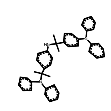 CC(C)(Nc1ccc(C(C)(C)N(c2ccccc2)c2ccccc2)cc1)c1ccc(N(c2ccccc2)c2ccccc2)cc1